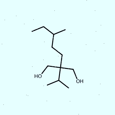 CCC(C)CCC(CO)(CO)C(C)C